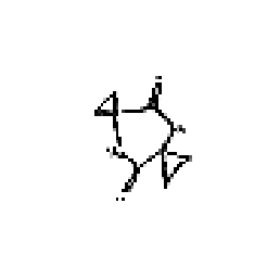 O=C1NC2(CC2)C(=O)NC12CC2